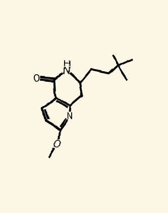 COc1ccc2c(n1)CC(CCC(C)(C)C)NC2=O